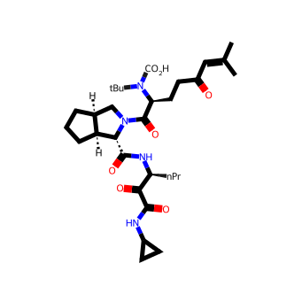 CCC[C@H](NC(=O)[C@@H]1[C@H]2CCC[C@H]2CN1C(=O)[C@H](CCC(=O)C=C(C)C)N(C(=O)O)C(C)(C)C)C(=O)C(=O)NC1CC1